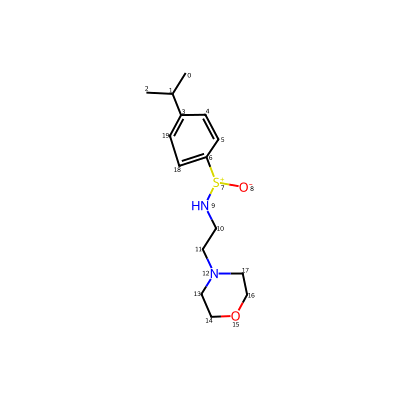 CC(C)c1ccc([S+]([O-])NCCN2CCOCC2)cc1